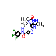 Cc1nc(N[C@H]2C[C@H](C(=O)Nc3cc(F)c(F)c(F)c3)C2)cc2c1NC(=O)[C@H](C)N2C